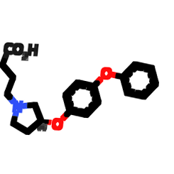 O=C(O)CCCN1CC[C@@H](Oc2ccc(Oc3ccccc3)cc2)C1